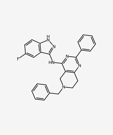 Fc1ccc2[nH]nc(Nc3nc(-c4ccccc4)nc4c3CN(Cc3ccccc3)CC4)c2c1